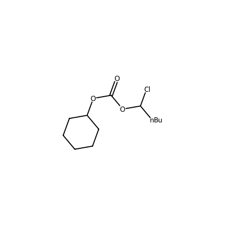 CCCCC(Cl)OC(=O)OC1CCCCC1